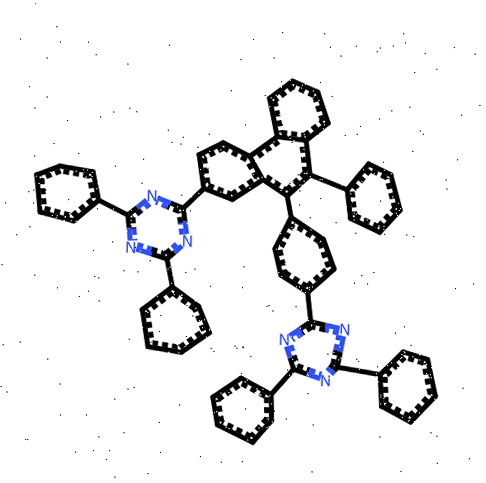 c1ccc(-c2nc(-c3ccccc3)nc(-c3ccc(-c4c(-c5ccccc5)c5ccccc5c5ccc(-c6nc(-c7ccccc7)nc(-c7ccccc7)n6)cc45)cc3)n2)cc1